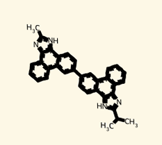 Cc1nc2c3ccccc3c3cc(-c4ccc5c(c4)c4ccccc4c4nc(C(C)C)[nH]c54)ccc3c2[nH]1